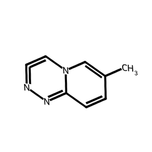 CC1=CN2C=C=NN=C2C=C1